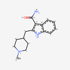 CCCCN1CCC(Cc2[nH]c3ccccc3c2C(N)=O)CC1